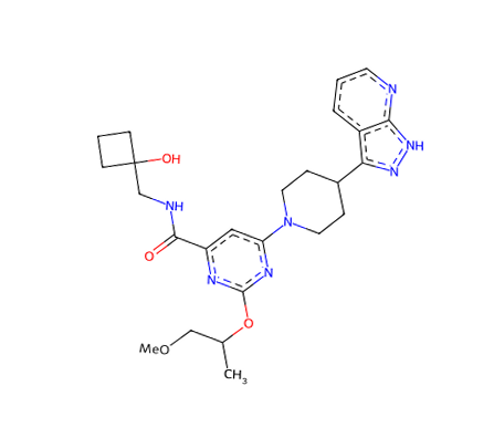 COCC(C)Oc1nc(C(=O)NCC2(O)CCC2)cc(N2CCC(c3n[nH]c4ncccc34)CC2)n1